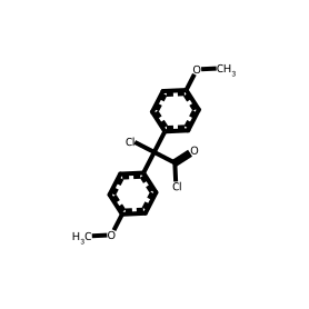 COc1ccc(C(Cl)(C(=O)Cl)c2ccc(OC)cc2)cc1